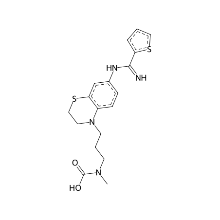 CN(CCCN1CCSc2cc(NC(=N)c3cccs3)ccc21)C(=O)O